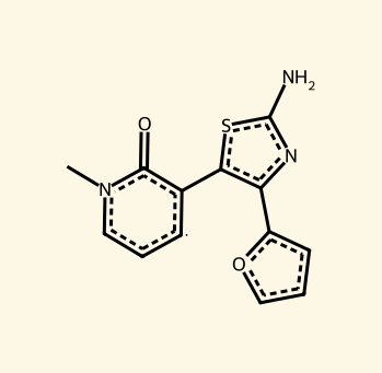 Cn1cc[c]c(-c2sc(N)nc2-c2ccco2)c1=O